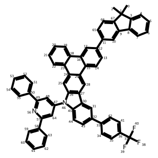 CC1(C)c2ccccc2-c2cc(-c3ccc4c(c3)c3ccccc3c3cc5c(cc43)c3cc(-c4ccc(C(F)(F)F)cc4)ccc3n5-c3cc(-c4ccccc4)nc(-c4ccccc4)c3)ccc21